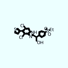 CCS(=O)(=O)c1ccc(C(CO)c2nc3c(Cl)c(-c4ccsc4)c(Cl)cc3[nH]2)cc1